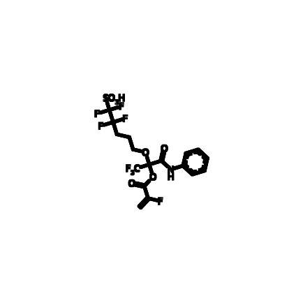 C=C(F)C(=O)OC(OCCCC(F)(F)C(F)(F)S(=O)(=O)O)(C(=O)Nc1ccccc1)C(F)(F)F